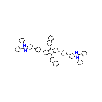 c1ccc(-c2nc3cc(-c4ccc(-c5ccc6c(-c7ccc8ccccc8c7)c7cc(-c8ccc(-c9ccc%10c(c9)nc(-c9ccccc9)n%10-c9ccccc9)cc8)ccc7c(-c7ccc8ccccc8c7)c6c5)cc4)ccc3n2-c2ccccc2)cc1